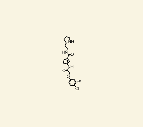 O=C(COc1ccc(Cl)c(F)c1)NC12CC(C1)C(C(=O)NCCN1CCCN1)C2